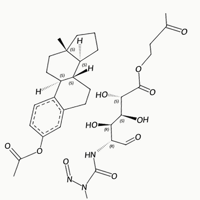 CC(=O)Oc1ccc2c(c1)CC[C@@H]1[C@@H]2CC[C@]2(C)CCC[C@@H]12.CN(N=O)C(=O)N[C@@H](C=O)[C@@H](O)[C@H](O)[C@H](O)C(=O)OCCC(=O)O